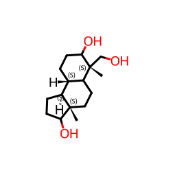 C[C@]1(CO)C(O)CC[C@@H]2C1CC[C@]1(C)C(O)CC[C@@H]21